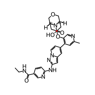 CCNC(=O)c1ccc(Nc2cc3cc(-c4cc(C)ncc4OC4C[C@H]5COC[C@@H](C4)N5C(=O)O)ccn3n2)nc1